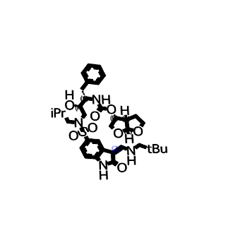 CC(C)CN(C[C@@H](O)[C@H](Cc1ccccc1)NC(=O)O[C@H]1CO[C@H]2OCC[C@H]21)S(=O)(=O)c1ccc2c(c1)/C(=C/NCC(C)(C)C)C(=O)N2